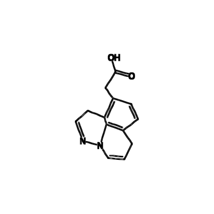 O=C(O)Cc1ccc2c3c1CC=NN3C=CC2